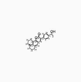 CC(O)c1ccc(-c2cc3cc4c5c(c3oc2=O)CCCN5CCC4)cc1